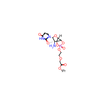 CC(C)OC(=O)COCCO[P@]1(=O)OC2[C@H]3O[C@@H](n4ccc(=O)[nH]c4=O)[C@](C)(N)[C@@]23O1